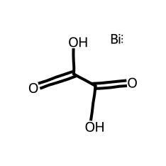 O=C(O)C(=O)O.[Bi]